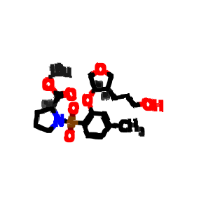 Cc1ccc(S(=O)(=O)N2CCC[C@H]2C(=O)OC(C)(C)C)c(O[C@H]2COC[C@H]2CCCO)c1